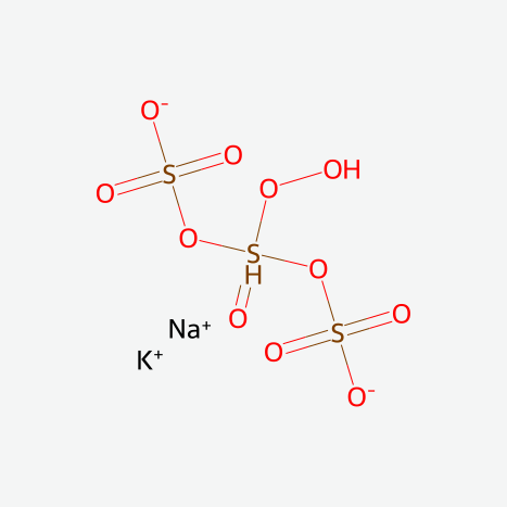 O=S(=O)([O-])O[SH](=O)(OO)OS(=O)(=O)[O-].[K+].[Na+]